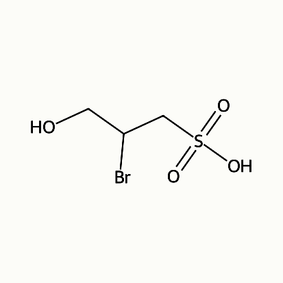 O=S(=O)(O)CC(Br)CO